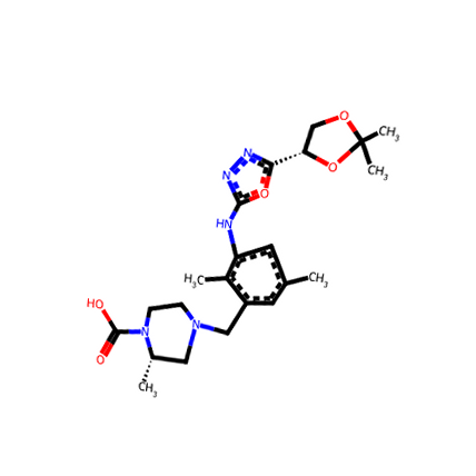 Cc1cc(CN2CCN(C(=O)O)[C@@H](C)C2)c(C)c(Nc2nnc([C@@H]3COC(C)(C)O3)o2)c1